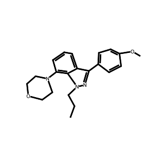 CCCn1nc(-c2ccc(OC)cc2)c2cccc(N3CCOCC3)c21